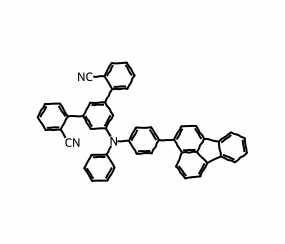 N#Cc1ccccc1-c1cc(-c2ccccc2C#N)cc(N(c2ccccc2)c2ccc(-c3ccc4c5c(cccc35)-c3ccccc3-4)cc2)c1